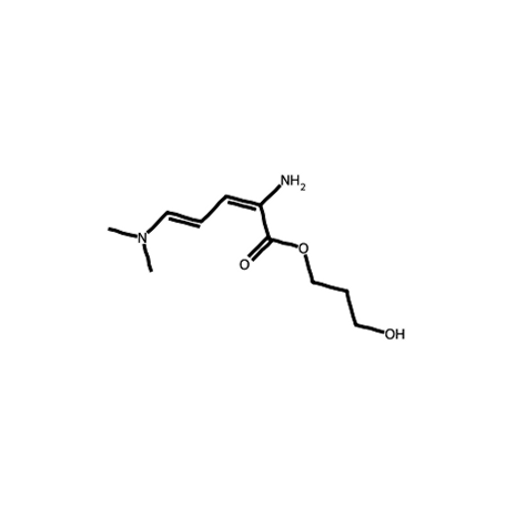 CN(C)/C=C/C=C(/N)C(=O)OCCCO